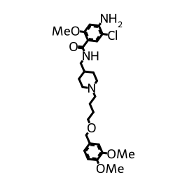 COc1ccc(COCCCCN2CCC(CNC(=O)c3cc(Cl)c(N)cc3OC)CC2)cc1OC